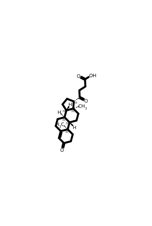 C[C@]12CC[C@H]3[C@@H](CCC4=CC(=O)CC[C@@]43C)[C@@H]1CC[C@@H]2C(=O)CCC(=O)O